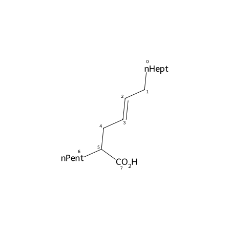 CCCCCCCCC=CCC(CCCCC)C(=O)O